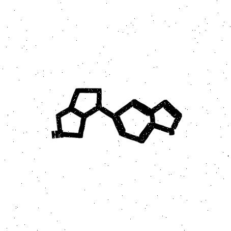 c1cc2cc(N3CCC4CNCC43)ccc2s1